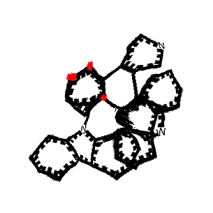 c1ccc(-n2c3ccccc3c3ccccc32)c(-c2ccncc2-c2cnccc2-c2ccccc2-n2c3ccccc3c3ccccc32)c1